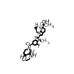 Cn1c(-c2cc3ccc(C(C)(C)O)nc3n2CC2CC2)nc2cc(C(=O)N3CC[C@H]4OCCN[C@H]4C3)cc(F)c21